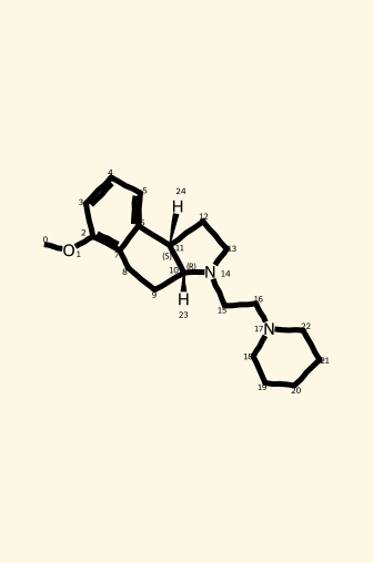 COc1cccc2c1CC[C@@H]1[C@H]2CCN1CCN1CCCCC1